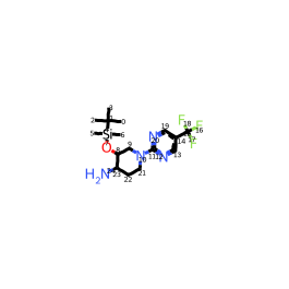 CC(C)(C)[Si](C)(C)OC1CN(c2ncc(C(F)(F)F)cn2)CCC1N